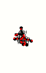 O=C(NCCN(CCNC(=O)OCc1ccccc1)C(=O)c1cc(C(=O)N(CCNC(=O)OCc2ccccc2)CCNC(=O)OCc2ccccc2)cc(C(=O)N(CCNC(=O)OCc2ccccc2)CCNC(=O)OCc2ccccc2)c1)OCc1ccccc1